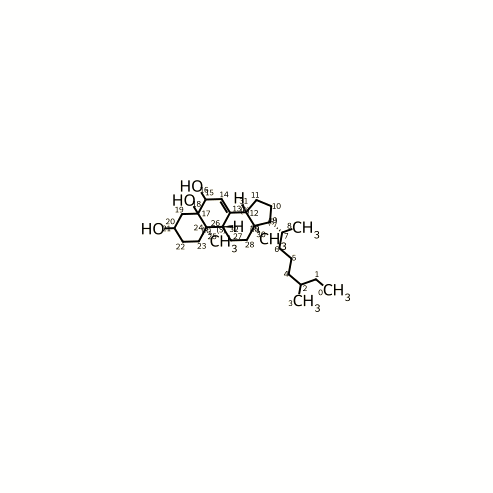 CCC(C)CCCC(C)[C@H]1CC[C@H]2C3=CC(O)C4(O)CC(O)CC[C@]4(C)[C@H]3CC[C@]12C